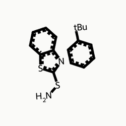 CC(C)(C)c1ccccc1.NSc1nc2ccccc2s1